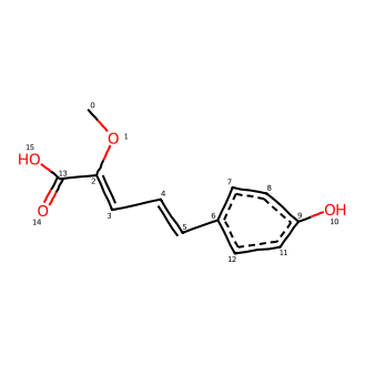 CO/C(=C\C=C\c1ccc(O)cc1)C(=O)O